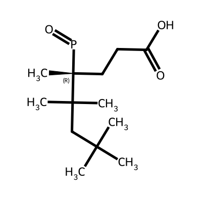 CC(C)(C)CC(C)(C)[C@@](C)(CCC(=O)O)P=O